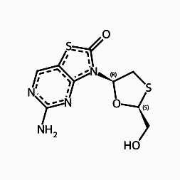 Nc1ncc2sc(=O)n([C@H]3CS[C@@H](CO)O3)c2n1